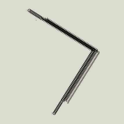 N.N.N.N.N.N.N.N.N.N.N.N.N.N.N.N.N.N.N.N.N.N.N.N.N.N.N.N.N.N.N.N.N.N.N.N.N.N.N.N.N.N.N.N.N.N.N.N.N.N.N.N.N.N.N.N.N.N.N.N.N.N.N.N.N.N.N.N.N.N.N.N.N.N.N.N.N.N.N.[N].[O].[O].[O].[O].[O].[O].[O].[O].[O].[O].[O].[O].[O].[O].[O].[O].[O].[O].[O].[O]